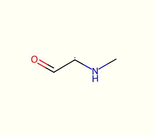 CN[CH]C=O